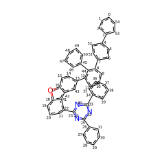 c1ccc(-c2ccc(-c3cccc(-c4ccc5oc6cccc(-c7nc(-c8ccccc8)nc(-c8ccccc8)n7)c6c5c4)c3-c3ccccc3)cc2)cc1